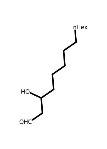 CCCCCCCCCCCC(O)CC=O